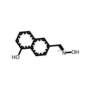 O/N=C/c1ccc2c(O)cccc2c1